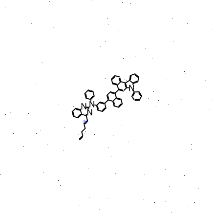 C=CCC/C=C/c1nc(N(c2ccccc2)c2cccc(-c3ccc(-c4cc5c(c6ccccc46)c4ccccc4n5-c4ccccc4)c4ccccc34)c2)nc2ccccc12